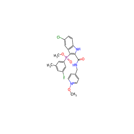 CO[n+]1ccc(CNC(=O)c2[nH]c3ccc(Cl)cc3c2P(=O)(OC)c2cc(C)cc(F)c2)cc1